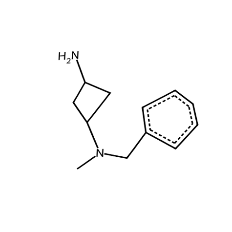 CN(Cc1ccccc1)C1CC(N)C1